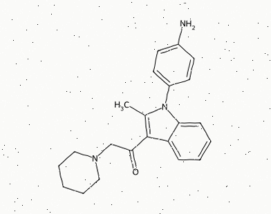 Cc1c(C(=O)CN2CCCCC2)c2ccccc2n1-c1ccc(N)cc1